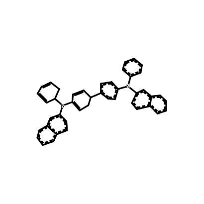 C1=CCC(N(C2=CCC(c3ccc(N(c4ccccc4)c4ccc5ccccc5c4)cc3)C=C2)c2ccc3ccccc3c2)C=C1